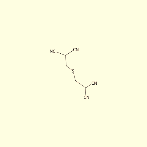 N#CC(C#N)CSCC(C#N)C#N